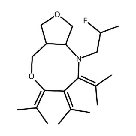 CC(C)=C1OCC2COCC2N(CC(C)F)C(=C(C)C)C1=C(C)C